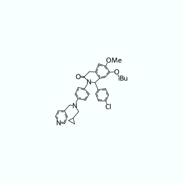 CCC(C)Oc1cc2c(cc1OC)CC(=O)N(c1ccc(N(Cc3ccncc3)CC3CC3)cc1)C2c1ccc(Cl)cc1